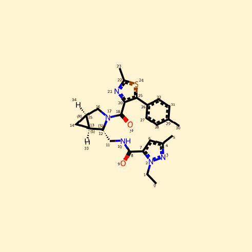 CCn1nc(C)cc1C(=O)NC[C@@H]1[C@H]2C[C@H]2CN1C(=O)c1nc(C)sc1-c1ccc(C)cc1